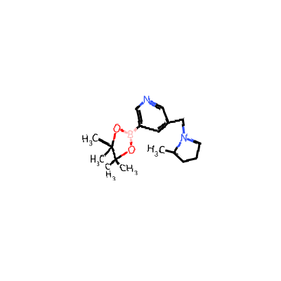 CC1CCCN1Cc1cncc(B2OC(C)(C)C(C)(C)O2)c1